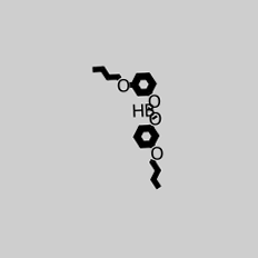 CCCCOc1cccc(OBOc2cccc(OCCCC)c2)c1